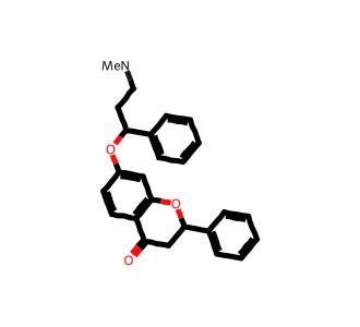 CNCCC(Oc1ccc2c(c1)OC(c1ccccc1)CC2=O)c1ccccc1